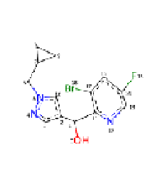 OC(c1cnn(CC2CC2)c1)c1ncc(F)cc1Br